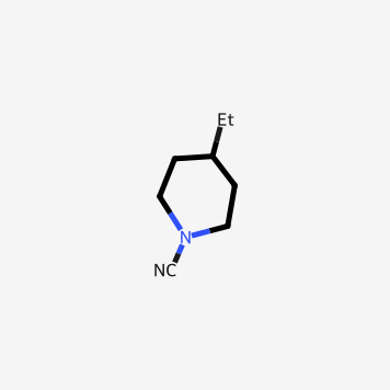 CCC1CCN(C#N)CC1